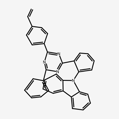 C=Cc1ccc(-c2nc(-c3ccccc3)nc(-c3ccccc3-n3c4ccccc4c4ccccc43)n2)cc1